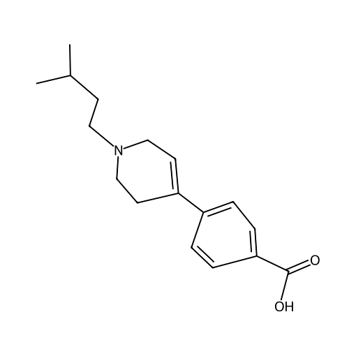 CC(C)CCN1CC=C(c2ccc(C(=O)O)cc2)CC1